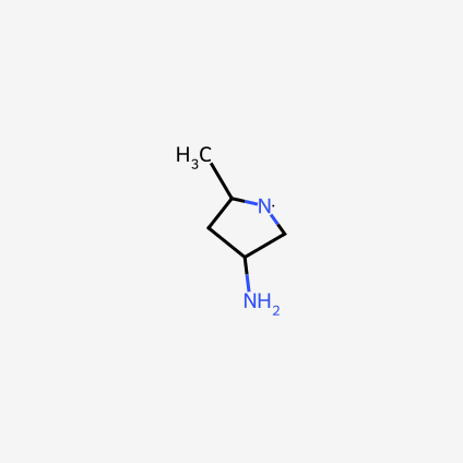 CC1CC(N)C[N]1